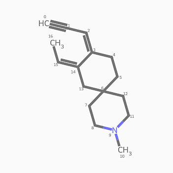 C#C/C=C1/CCC2(CCN(C)CC2)C/C1=C/C